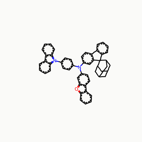 c1ccc2c(c1)-c1ccc(N(c3ccc(-n4c5ccccc5c5ccccc54)cc3)c3ccc4c(c3)oc3ccccc34)cc1C21C2CC3CC(C2)CC1C3